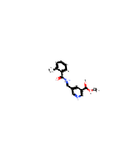 COC(=O)c1cncc(CNC(=O)c2ccccc2C)c1